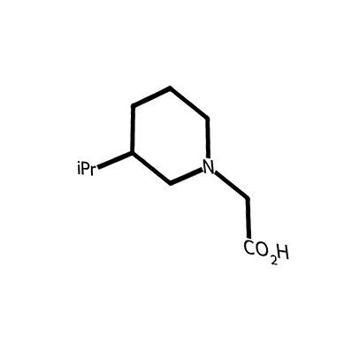 CC(C)C1CCCN(CC(=O)O)C1